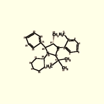 Cc1ccccc1N1C(C(C)(C)C)N(C2CCCCC2)C(c2ccccc2)[C@@H]1C